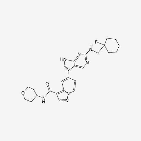 O=C(NC1CCOCC1)c1cnn2ccc(-c3c[nH]c4nc(NCC5(F)CCCCC5)ncc34)cc12